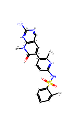 Cc1nc(NS(=O)(=O)c2ccccc2C#N)ccc1-c1cc2cnc(N)nc2n(C(C)C)c1=O